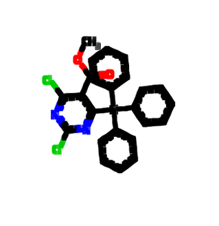 COC(=O)c1c(Cl)nc(Cl)nc1[Si](c1ccccc1)(c1ccccc1)c1ccccc1